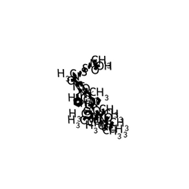 CC[C@H](C)[C@@H]([C@@H](CC(=O)N1CCC[C@H]1[C@H](OC)[C@@H](C)C(=O)N[C@@H](Cc1ccccc1)c1nc(C(=O)N(C)CCSSCCN(C)C(=O)O)cs1)OC)N(C)C(=O)[C@@H](NC(=O)[C@H](C(C)C)N(C)C)C(C)C